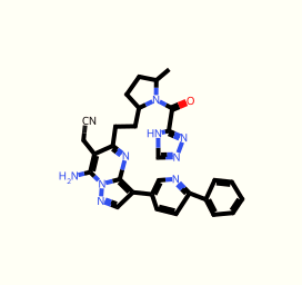 CC1CCC(CCc2nc3c(-c4ccc(-c5ccccc5)nc4)cnn3c(N)c2CC#N)N1C(=O)c1nnc[nH]1